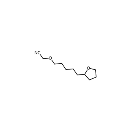 N#CCOCCCCCC1CCCO1